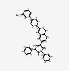 N#Cc1cccc(C2=CCC(C3=CC4=CC(C5NC(c6ccccc6)NC(c6ccccc6)N5)=CCC4CC3)C=C2)c1